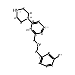 Fc1cccc(COCc2cncc(N3CCNCC3)n2)c1